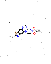 CC(C)(C)c1nc2cc(N3CCN(S(C)(=O)=O)CC3)c(N)cc2s1